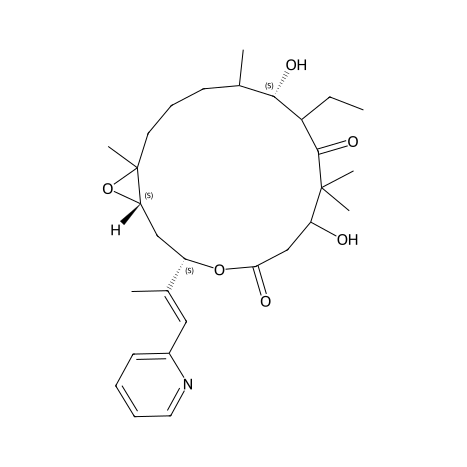 CCC1C(=O)C(C)(C)C(O)CC(=O)O[C@H](C(C)=Cc2ccccn2)C[C@@H]2OC2(C)CCCC(C)[C@@H]1O